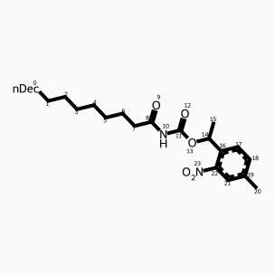 CCCCCCCCCCCCCCCCCC(=O)NC(=O)OC(C)c1ccc(C)cc1[N+](=O)[O-]